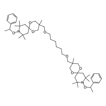 CC(ON1C(C)(C)CC2(CC1(C)C)OCC(C)(COCCCCCCOCC1(C)COC3(CC(C)(C)N(OC(C)c4ccccc4)C(C)(C)C3)OC1)CO2)c1ccccc1